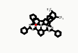 FC(F)(F)c1cc(-c2ccc3c(c2)c2ccccc2n3-c2c(-c3nc(-c4ccccc4)nc(-c4ccccc4)n3)cccc2-c2nc(-c3ccccc3)nc(-c3ccccc3)n2)cc(C(F)(F)F)c1